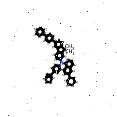 CC1(C)c2ccc(-c3ccc(-c4ccccc4)cc3)cc2-c2ccc(N(c3ccc(C4CC5CCC4C5)cc3)c3cccc4cc(C5CCCCC5)ccc34)cc21